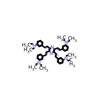 CCN(CC)c1cccc(/C=C/c2nc(/C=C/c3cccc(N(CC)CC)c3)c(/C=C/c3cccc(N(CC)CC)c3)nc2/C=C/c2cccc(N(CC)CC)c2)c1